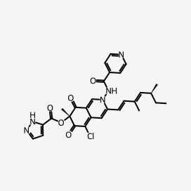 CC[C@H](C)/C=C(C)/C=C/C1=CC2=C(Cl)C(=O)[C@](C)(OC(=O)c3ccn[nH]3)C(=O)C2=CN1NC(=O)c1ccncc1